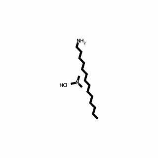 CCCCCCCCCCCCCCN.CN(C)C.Cl